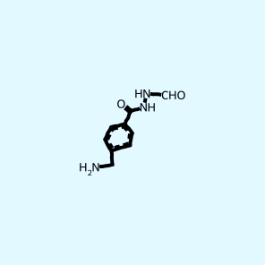 NCc1ccc(C(=O)NNC=O)cc1